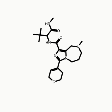 CNC(=O)C(NC(=O)c1nc(C2=CCOCC2)n2c1CN(C)CCC2)C(C)(C)C